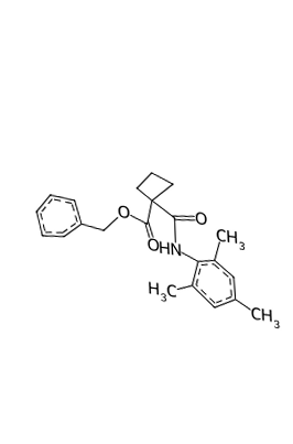 Cc1cc(C)c(NC(=O)C2(C(=O)OCc3ccccc3)CCC2)c(C)c1